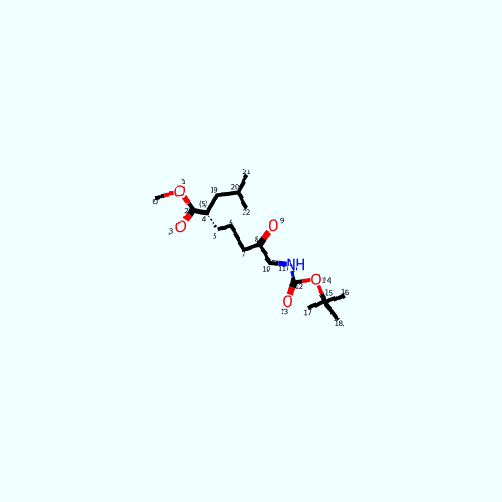 COC(=O)[C@@H](CCCC(=O)CNC(=O)OC(C)(C)C)CC(C)C